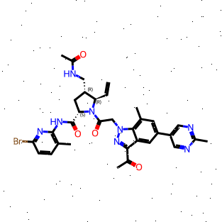 C=C[C@@H]1[C@@H](CNC(C)=O)C[C@@H](C(=O)Nc2nc(Br)ccc2C)N1C(=O)Cn1nc(C(C)=O)c2cc(-c3cnc(C)nc3)cc(C)c21